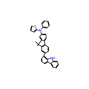 CC1(C)c2cc(-c3cccc4c3[nH]c3ccccc34)ccc2-c2ccc(N(c3ccccc3)c3cccs3)cc21